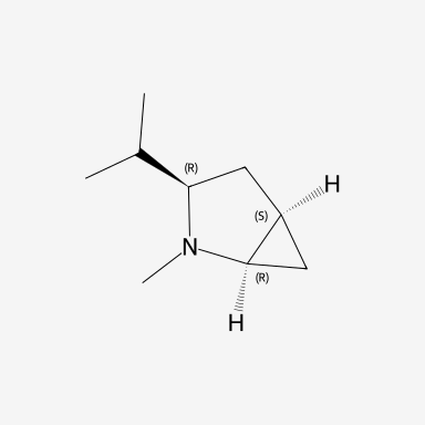 CC(C)[C@H]1C[C@H]2C[C@H]2N1C